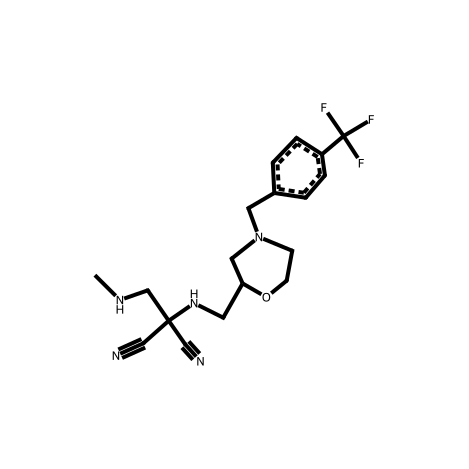 CNCC(C#N)(C#N)NCC1CN(Cc2ccc(C(F)(F)F)cc2)CCO1